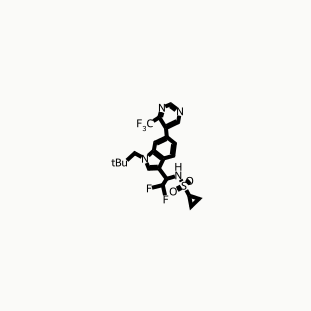 CC(C)(C)Cn1cc(C(NS(=O)(=O)C2CC2)C(F)F)c2ccc(-c3cncnc3C(F)(F)F)cc21